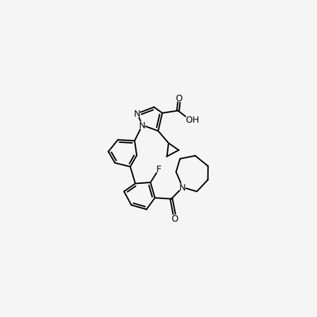 O=C(O)c1cnn(-c2cccc(-c3cccc(C(=O)N4CCCCCC4)c3F)c2)c1C1CC1